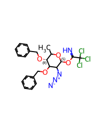 CC1O[C@@H](OC(=N)C(Cl)(Cl)Cl)C(N=[N+]=[N-])C(OCc2ccccc2)[C@@H]1OCc1ccccc1